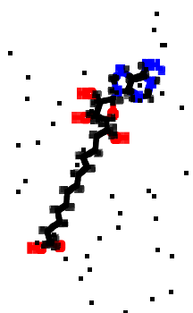 Nc1ncnc2c1ncn2[C@@H]1O[C@H](C(O)CCCCCCCCCCCC(=O)O)[C@@H](O)[C@H]1O